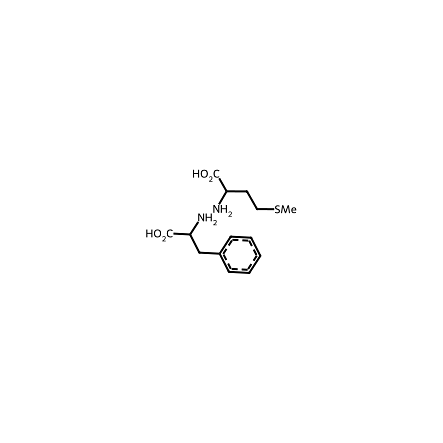 CSCCC(N)C(=O)O.NC(Cc1ccccc1)C(=O)O